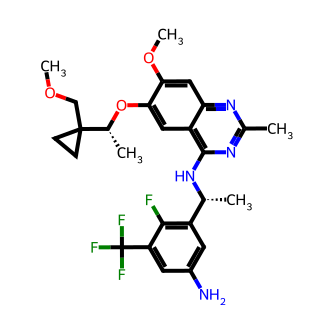 COCC1([C@@H](C)Oc2cc3c(N[C@H](C)c4cc(N)cc(C(F)(F)F)c4F)nc(C)nc3cc2OC)CC1